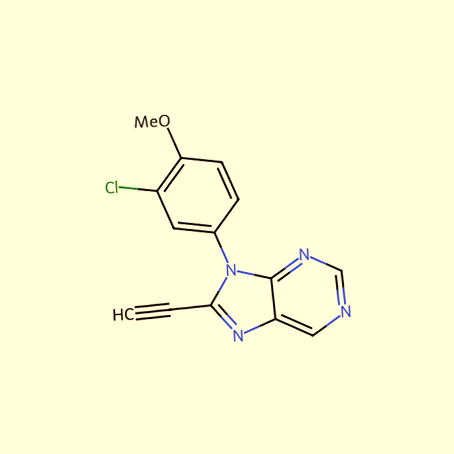 C#Cc1nc2cncnc2n1-c1ccc(OC)c(Cl)c1